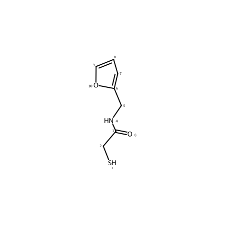 O=C(CS)NCc1ccco1